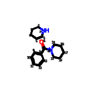 C1CCNCC1.O=C(c1ccccc1)N1CCCCC1